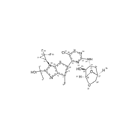 CC(C)(O)c1nc2c(F)cc(-c3nc(N[C@@H]4C[C@H]5CO[C@H](O5)[C@H]4O)ncc3Cl)cc2n1[C@H]1CC1(F)F